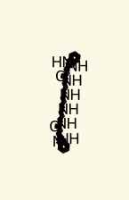 O=C(CCc1nc2ccccc2[nH]1)NCCCNCCCNCCCNC(=O)CCC1Nc2ccccc2N1